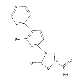 NC(=O)[C@H]1CN(c2ccc(-c3ccncc3)c(F)c2)C(=O)O1